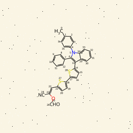 Cc1ccc(-n2c(-c3ccccc3)c(-c3ccc(-c4ccc(/C=C(/C#N)OC=O)s4)s3)c3ccccc32)cc1